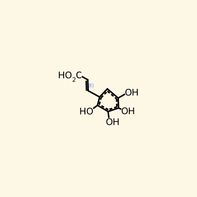 O=C(O)/C=C/c1cc(O)c(O)c(O)c1O